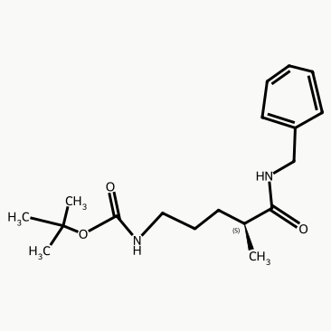 C[C@@H](CCCNC(=O)OC(C)(C)C)C(=O)NCc1ccccc1